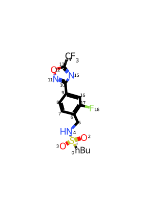 CCCCS(=O)(=O)NCc1ccc(-c2noc(C(F)(F)F)n2)cc1F